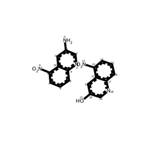 Nc1cnc2cccc([N+](=O)[O-])c2c1.O=[N+]([O-])c1cccc2ncc(O)cc12